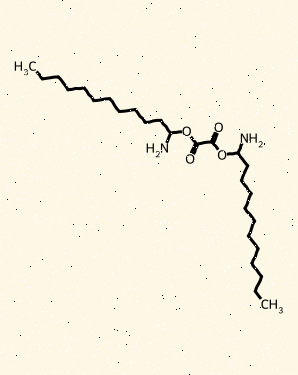 CCCCCCCCCCCC(N)OC(=O)C(=O)OC(N)CCCCCCCCCCC